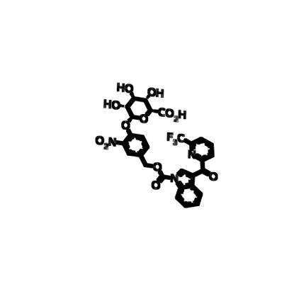 O=C(c1cccc(C(F)(F)F)n1)c1cn(C(=O)OCc2ccc(O[C@@H]3O[C@H](C(=O)O)[C@@H](O)[C@H](O)[C@H]3O)c([N+](=O)[O-])c2)c2ccccc12